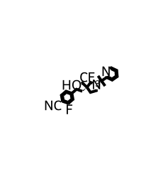 CC(C)(c1ccccn1)N1CC[C@@](CCc2ccc(C#N)c(F)c2)([C@@H](O)C(F)(F)F)C1